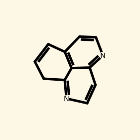 C1=Cc2ccnc3ccnc(c23)C1